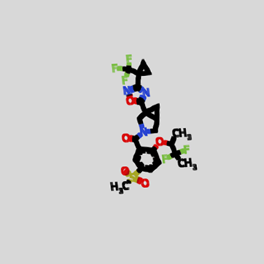 CC(Oc1ccc(S(C)(=O)=O)cc1C(=O)N1CC2CC2(c2nc(C3(C(F)(F)F)CC3)no2)C1)C(C)(F)F